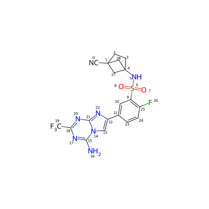 N#CC12CCC(NS(=O)(=O)c3cc(-c4cn5c(N)nc(C(F)(F)F)nc5n4)ccc3F)(C1)C2